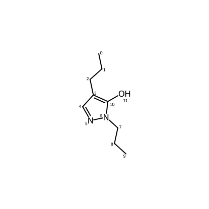 CCCc1cnn(CCC)c1O